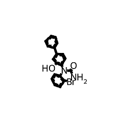 NC(=O)N(c1ccc(-c2ccccc2)cc1O)c1ccccc1Br